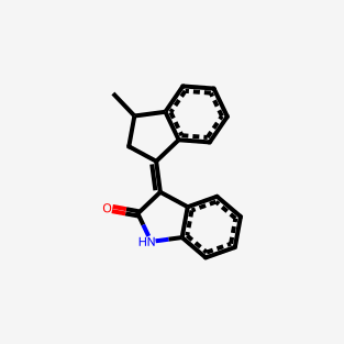 CC1C/C(=C2\C(=O)Nc3ccccc32)c2ccccc21